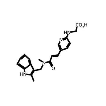 Cc1[nH]c2ccccc2c1CN(C)C(=O)C=Cc1ccc(NCC(=O)O)nc1